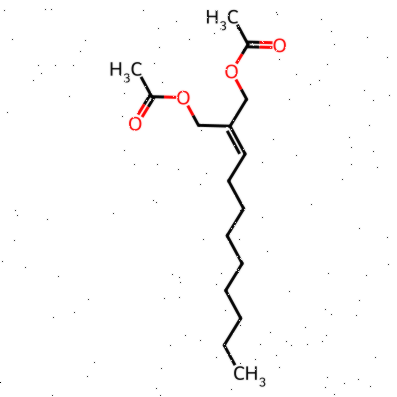 CCCCCCCCC=C(COC(C)=O)COC(C)=O